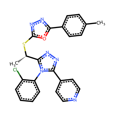 Cc1ccc(-c2nnc(S[C@@H](C)c3nnc(-c4ccncc4)n3-c3ccccc3Cl)o2)cc1